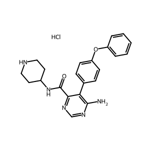 Cl.Nc1ncnc(C(=O)NC2CCNCC2)c1-c1ccc(Oc2ccccc2)cc1